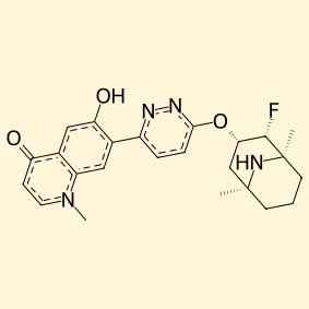 Cn1ccc(=O)c2cc(O)c(-c3ccc(O[C@H]4C[C@]5(C)CCC[C@@](C)(N5)[C@H]4F)nn3)cc21